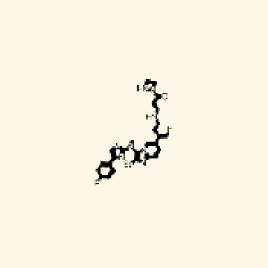 CCc1nc2ccc(C(CF)CCNCCC(=O)N3CCN3)cn2c1N(C)c1nc(C2=CCC(F)C=C2)cs1